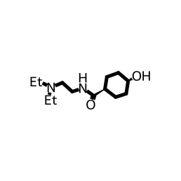 CCN(CC)CCNC(=O)[C@H]1CC[C@@H](O)CC1